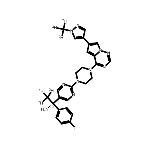 [2H]C([2H])([2H])n1cc(-c2cc3c(N4CCN(c5ncc([C@@](N)(c6ccc(F)cc6)C([2H])([2H])[2H])cn5)CC4)ncnn3c2)cn1